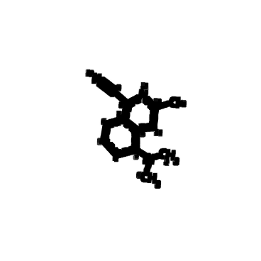 CN(C)c1cccc2c(C#N)nc(Cl)cc12